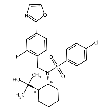 CC(C)(O)[C@@H]1CCCC[C@H]1N(Cc1ccc(-c2ncco2)cc1F)S(=O)(=O)c1ccc(Cl)cc1